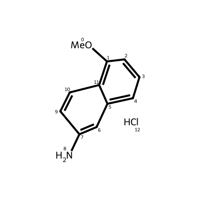 COc1cccc2cc(N)ccc12.Cl